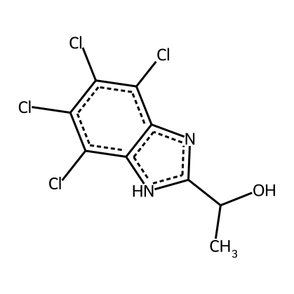 CC(O)c1nc2c(Cl)c(Cl)c(Cl)c(Cl)c2[nH]1